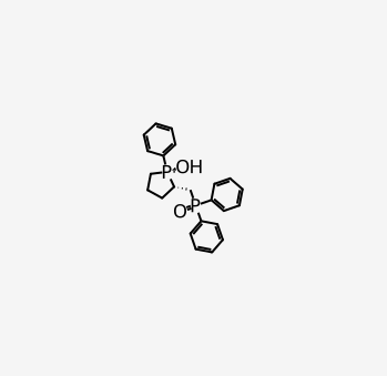 O=P(C[C@@H]1CCC[P@]1(O)c1ccccc1)(c1ccccc1)c1ccccc1